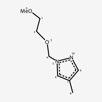 COCCOCn1cc(C)cn1